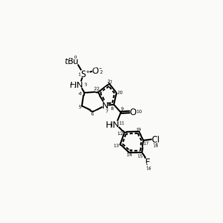 CC(C)(C)[S+]([O-])NC1CCn2c(C(=O)Nc3ccc(F)c(Cl)c3)ccc21